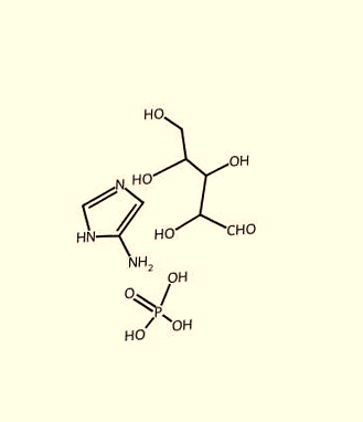 Nc1cnc[nH]1.O=CC(O)C(O)C(O)CO.O=P(O)(O)O